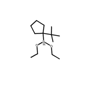 CCO[SiH](OCC)C1(C(C)(C)C)CCCC1